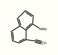 C#Cc1cccc2cccc(NC)c12